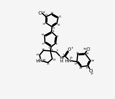 O=C(NCC1(c2ccc(-c3cccc(Cl)c3)cc2)CCNCC1)Nc1cc(Cl)cc(Cl)c1